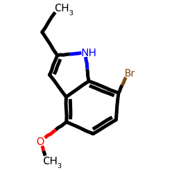 CCc1cc2c(OC)ccc(Br)c2[nH]1